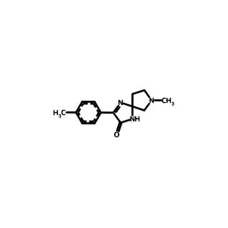 Cc1ccc(C2=NC3(CCN(C)C3)NC2=O)cc1